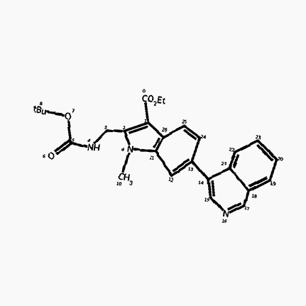 CCOC(=O)c1c(CNC(=O)OC(C)(C)C)n(C)c2cc(-c3cncc4ccccc34)ccc12